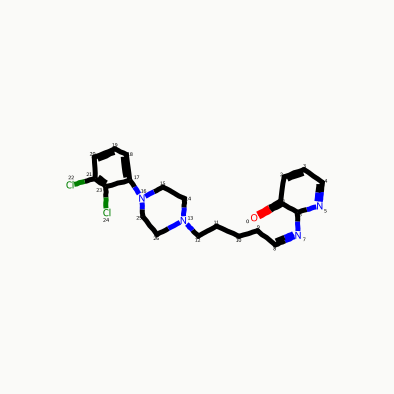 O=C1C=CC=NC1/N=C\CCCCN1CCN(c2cccc(Cl)c2Cl)CC1